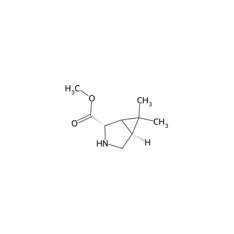 COC(=O)[C@H]1NC[C@H]2C1C2(C)C